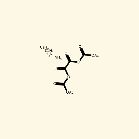 CC(=O)OC(=O)OC(=O)C(=O)OC(=O)OC(C)=O.N.N.[CaH2].[CaH2]